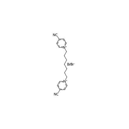 N#Cc1cc[n+](CCCCCCC[n+]2ccc(C#N)cc2)cc1.[Br-].[Br-]